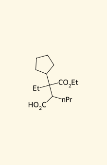 CCCC(C(=O)O)C(CC)(C(=O)OCC)C1CCCC1